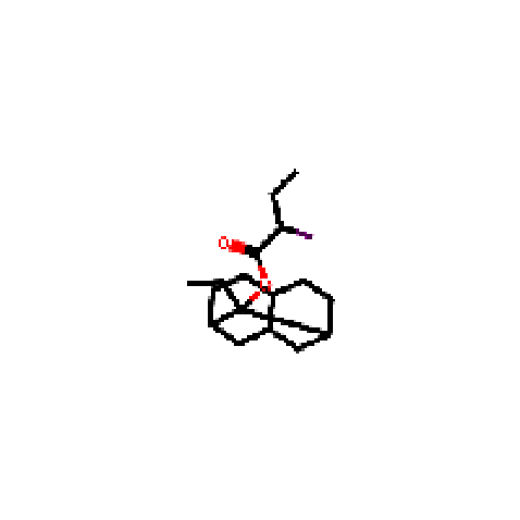 CCC(I)C(=O)OC1(CC)C2CCC3CCC1CC3C2